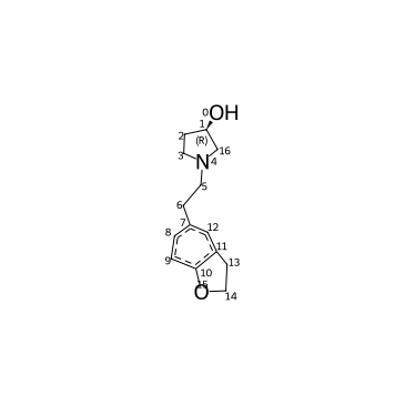 O[C@@H]1CCN(CCc2ccc3c(c2)CCO3)C1